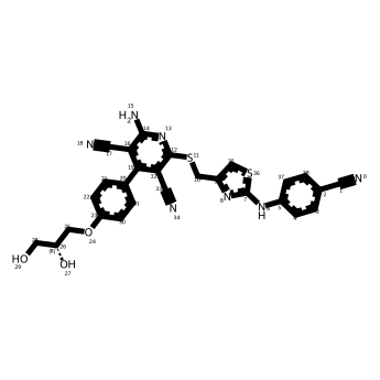 N#Cc1ccc(Nc2nc(CSc3nc(N)c(C#N)c(-c4ccc(OC[C@H](O)CO)cc4)c3C#N)cs2)cc1